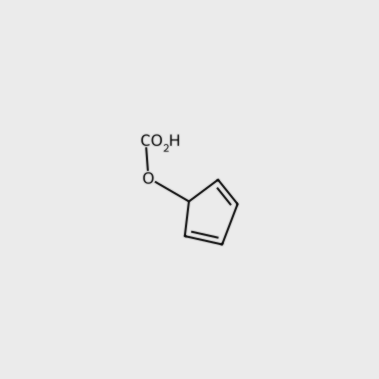 O=C(O)OC1C=CC=C1